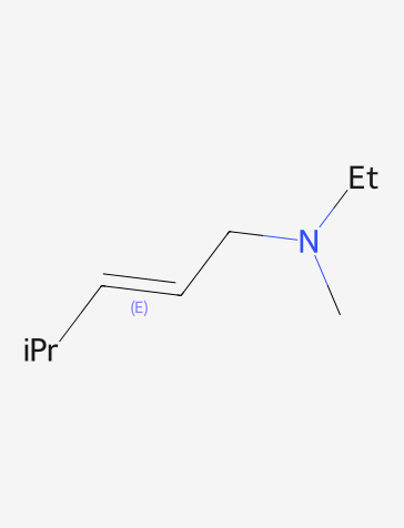 CCN(C)C/C=C/C(C)C